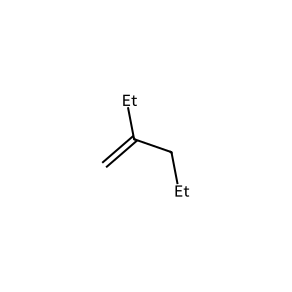 C=C(CC)CCC